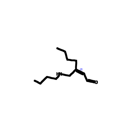 CCCCNC/C(=C\C=O)CCCC